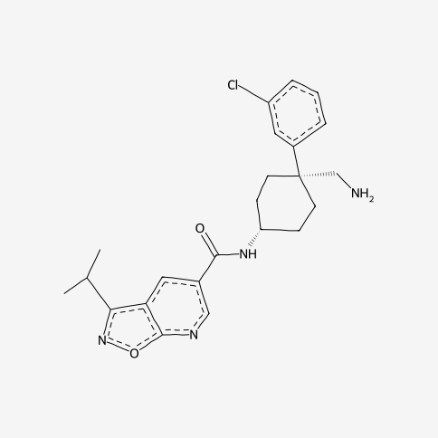 CC(C)c1noc2ncc(C(=O)N[C@H]3CC[C@](CN)(c4cccc(Cl)c4)CC3)cc12